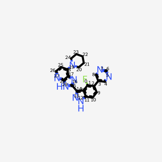 Fc1c(-c2cncnc2)ccc2[nH]nc(-c3nc4c(N5CCCCC5)ccnc4[nH]3)c12